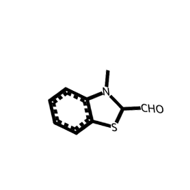 CN1c2ccccc2SC1C=O